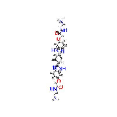 CN(C)CCNC(=O)COc1ccc2nc(-c3ccc(-c4nc5ccc(OCC(=O)NCCN(C)C)cc5[nH]4)cc3)[nH]c2c1